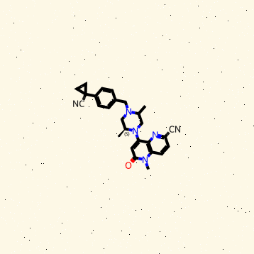 CC1CN(c2cc(=O)n(C)c3ccc(C#N)nc23)[C@@H](C)CN1Cc1ccc(C2(C#N)CC2)cc1